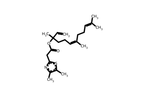 C=CC(C)(CCC=C(C)CCC=C(C)C)OC(=O)Cc1nc(C)c(C)s1